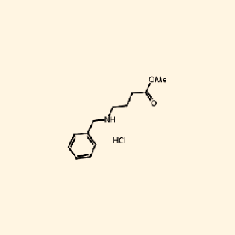 COC(=O)CCCNCc1ccccc1.Cl